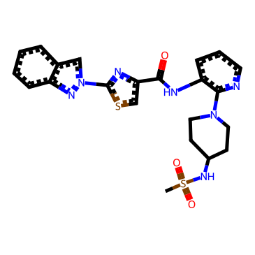 CS(=O)(=O)NC1CCN(c2ncccc2NC(=O)c2csc(-n3cc4ccccc4n3)n2)CC1